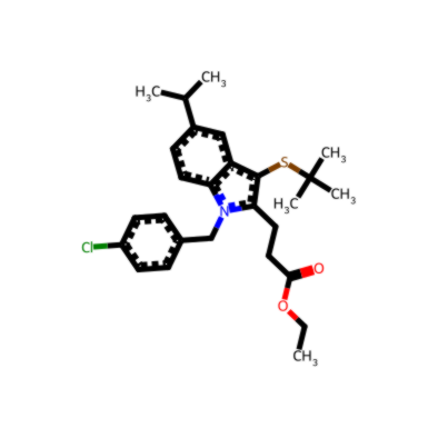 CCOC(=O)CCc1c(SC(C)(C)C)c2cc(C(C)C)ccc2n1Cc1ccc(Cl)cc1